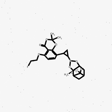 CC1(C)OC(=O)c2c(OCCF)ccc(C3CC3B3OC4CC5CC(C5(C)C)[C@]4(C)O3)c2O1